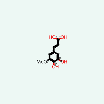 COc1cc(/C=C/C(O)O)cc(O)c1O